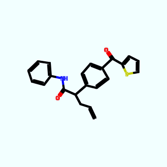 C=CCC(C(=O)Nc1ccccc1)c1ccc(C(=O)c2cccs2)cc1